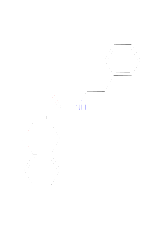 O=C(NC=Cc1ccccc1)[C@H]1COc2ccccc2C1